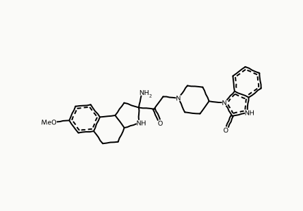 COc1ccc2c(c1)CCC1NC(N)(C(=O)CN3CCC(n4c(=O)[nH]c5ccccc54)CC3)CC21